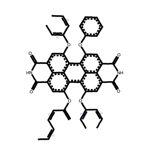 C=C(/C=C\C=C/C)Oc1cc2c3c(cc(OC(/C=C\C)=C/C)c4c5c(Oc6ccccc6)cc6c7c(cc(OC(/C=C\C)=C/C)c(c1c34)c75)C(=O)NC6=O)C(=O)NC2=O